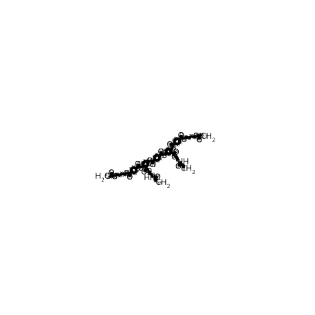 C=CC(=O)NCCOC(=O)c1cc(OC(=O)C2CCC(C(=O)Oc3ccc(OC(=O)C4CCC(C(=O)OCCCCOC(=O)C=C)CC4)c(C(=O)OCCNC(=O)C=C)c3)CC2)ccc1OC(=O)C1CCC(C(=O)OCCCCOC(=O)C=C)CC1